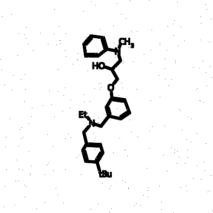 CCN(Cc1ccc(C(C)(C)C)cc1)Cc1cccc(OCC(O)CN(C)c2ccccc2)c1